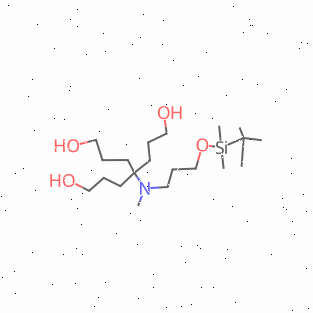 CN(CCCO[Si](C)(C)C(C)(C)C)C(CCCO)(CCCO)CCCO